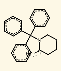 O=C(O)[C@@H]1CCCCN1C(c1ccccc1)(c1ccccc1)c1ccccc1